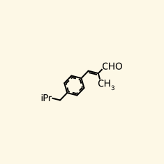 CC(C=O)=Cc1ccc(CC(C)C)cc1